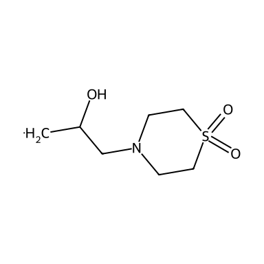 [CH2]C(O)CN1CCS(=O)(=O)CC1